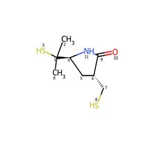 CC(C)(S)[C@@H]1C[C@@H](CS)C(=O)N1